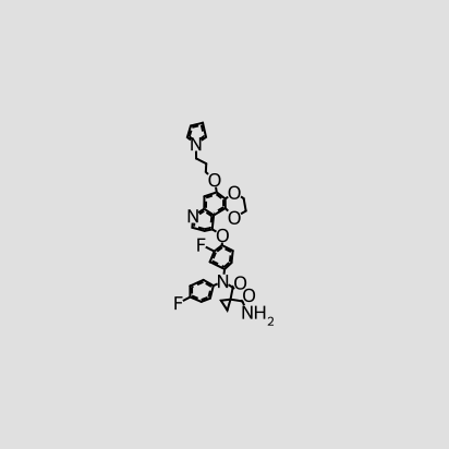 NC(=O)C1(C(=O)N(c2ccc(F)cc2)c2ccc(Oc3ccnc4cc(OCCCn5cccc5)c5c(c34)OCCO5)c(F)c2)CC1